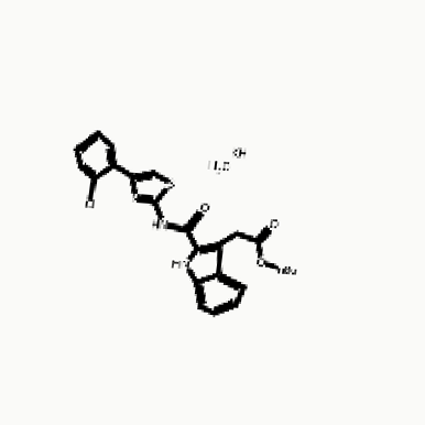 CCCCOC(=O)Cc1c(C(=O)Nc2nc(-c3ccccc3Cl)cs2)[nH]c2ccccc12.O.[KH]